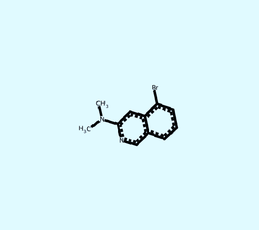 CN(C)c1cc2c(Br)cccc2cn1